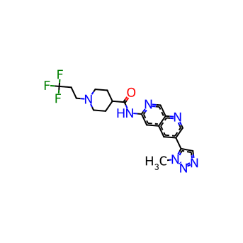 Cn1nncc1-c1cnc2cnc(NC(=O)C3CCN(CCC(F)(F)F)CC3)cc2c1